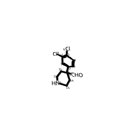 O=CC1(c2ccc(Cl)c(Cl)c2)CCNCC1